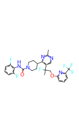 Cc1ncc(C(C)(F)COc2cccc(C(F)(F)F)n2)c(C2CCN(C(=O)Nc3c(F)cccc3F)CC2)n1